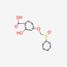 O=C(O)c1ccc(OC[S+]([O-])c2ccccc2)cc1O